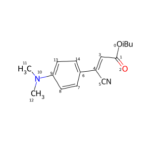 CC(C)COC(=O)C=C(C#N)c1ccc(N(C)C)cc1